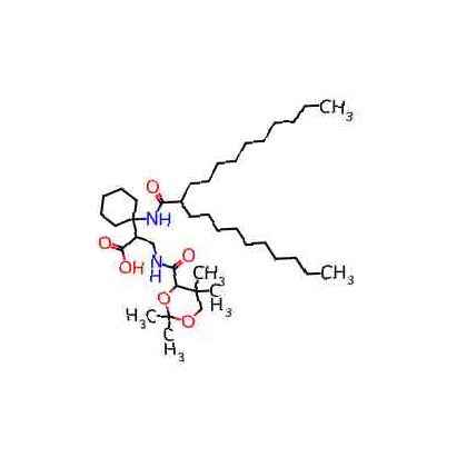 CCCCCCCCCCC(CCCCCCCCCC)C(=O)NC1(C(CNC(=O)C2OC(C)(C)OCC2(C)C)C(=O)O)CCCCC1